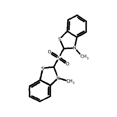 CN1c2ccccc2SC1S(=O)(=O)C1Sc2ccccc2N1C